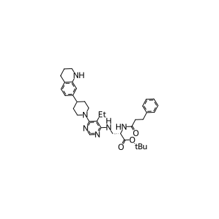 CCc1c(NC[C@H](NC(=O)CCc2ccccc2)C(=O)OC(C)(C)C)ncnc1N1CCC(c2ccc3c(c2)NCCC3)CC1